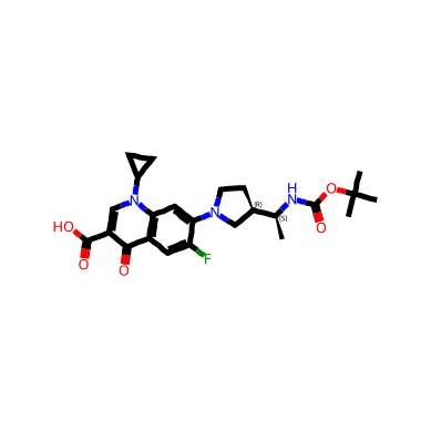 C[C@H](NC(=O)OC(C)(C)C)[C@@H]1CCN(c2cc3c(cc2F)c(=O)c(C(=O)O)cn3C2CC2)C1